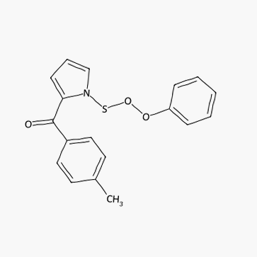 Cc1ccc(C(=O)c2cccn2SOOc2ccccc2)cc1